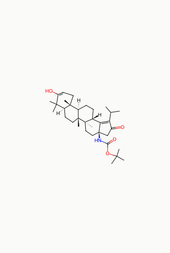 CC(C)C1=C2[C@H]3CC[C@@H]4[C@@]5(C)CC=C(O)C(C)(C)[C@@H]5CC[C@@]4(C)[C@]3(C)CC[C@@]2(NC(=O)OC(C)(C)C)CC1=O